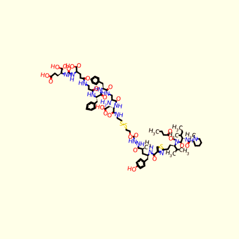 CCCC(=O)OCN(C(=O)[C@@H](NC(=O)[C@H]1CCCCN1C)C(C)CC)[C@H](CCc1nc(C(=O)N[C@@H](Cc2ccc(O)cc2)C[C@H](C)C(=O)NNC(=O)OCCSSCCNC(=O)[C@H](CC(=O)O)NC(=O)[C@@H](N)CNC(=O)[C@H](Cc2ccccc2)NC(=O)[C@H](Cc2ccccc2)NC(=O)CCNC(=O)CCC(NC(=O)N[C@@H](CCC(=O)O)C(=O)O)C(=O)O)cs1)C(C)C